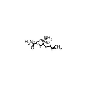 C=CCC[C@@H](COC(N)=O)S(N)(=O)=O